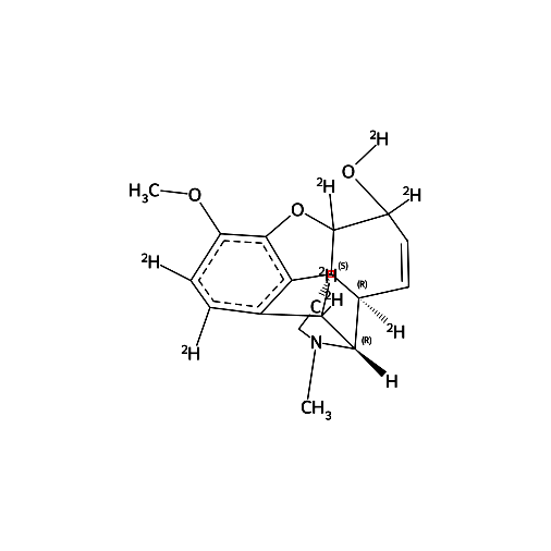 [2H]OC1([2H])C=C[C@@]2([2H])[C@@H]3N(C)CC[C@@]24c2c(c(OC)c([2H])c([2H])c2C3([2H])[2H])OC14[2H]